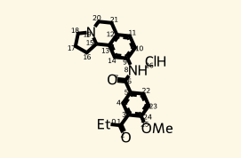 CCC(=O)c1cc(C(=O)Nc2ccc3c(c2)C2CCCN2CC3)ccc1OC.Cl